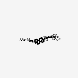 CNCCOc1ccc2c(c1)CCC1C2CCC2(C)C(OCCCOC(C(F)(F)F)(C(F)(F)F)C(F)(F)F)CCC12